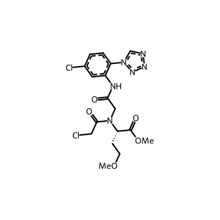 COCC[C@@H](C(=O)OC)N(CC(=O)Nc1cc(Cl)ccc1-n1cnnn1)C(=O)CCl